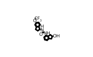 O=C(Nc1cccc2c1C[C@H](O)C2)N[C@@H]1CCc2cc(OC(F)(F)F)ccc21